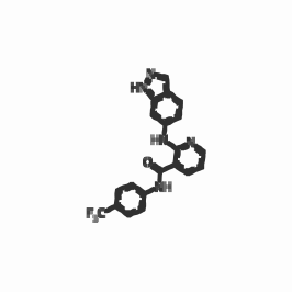 O=C(Nc1ccc(C(F)(F)F)cc1)c1cccnc1Nc1ccc2cn[nH]c2c1